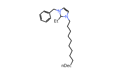 CCCCCCCCCCCCCCCCCCCN1C=CN(Cc2ccccc2)C1CC